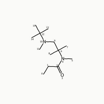 CCC(=O)N(C)C(C)(C)CN(C)C(C)(C)C